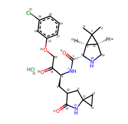 CC1(C)[C@@H]2[C@@H](C(=O)N[C@@H](CC3CC4(CC4)NC3=O)C(=O)COc3cccc(Cl)c3)NC[C@@H]21.Cl